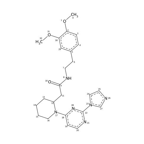 COc1ccc(CCNC(=O)CC2CCCCN2c2ccnc(-n3ccnc3)n2)cc1OC